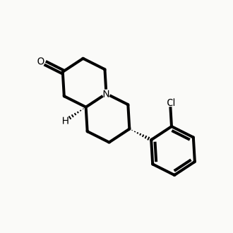 O=C1CCN2C[C@H](c3ccccc3Cl)CC[C@H]2C1